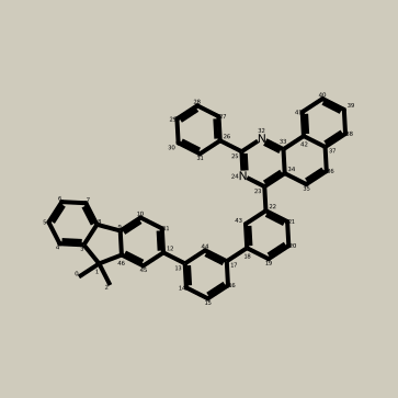 CC1(C)c2ccccc2-c2ccc(-c3cccc(-c4cccc(-c5nc(-c6ccccc6)nc6c5ccc5ccccc56)c4)c3)cc21